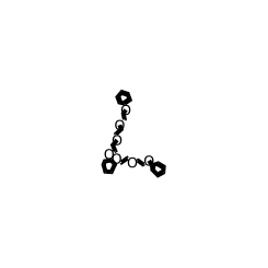 c1ccc(OCCOCCOCCOC2(OCCOCCOc3ccccc3)CCCCC2)cc1